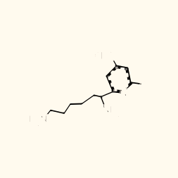 NCCCCCC(N)c1cc(C(Cl)(Cl)Cl)cc(Cl)n1